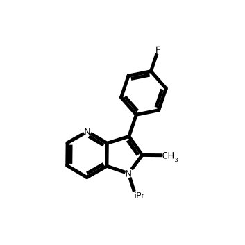 Cc1c(-c2ccc(F)cc2)c2ncccc2n1C(C)C